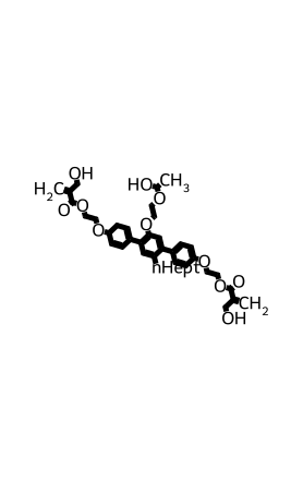 C=C(CO)C(=O)OCCOc1ccc(-c2cc(OCCOC(C)O)c(C3=CCC(OCCOC(=O)C(=C)CO)C=C3)cc2CCCCCCC)cc1